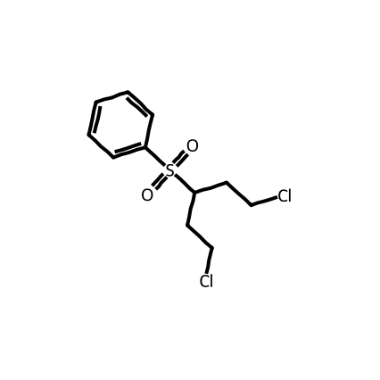 O=S(=O)(c1ccccc1)C(CCCl)CCCl